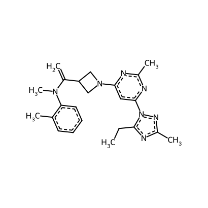 C=C(C1CN(c2cc(-n3nc(C)nc3CC)nc(C)n2)C1)N(C)c1ccccc1C